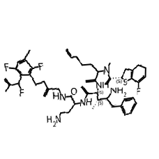 C=CCCCC(C(=C)N[C@H](C(=C)NC(CCN)C(=O)NCC(=C)CCc1c(F)c(C)cc(F)c1C(F)C(=C)C)[C@@H](C)C(N)Cc1ccccc1)N(C)C(=C)[C@@H]1CC2=C(S1)C(F)=CCC2